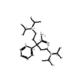 CC(C)N(CCC(CCN(C(C)C)C(C)C)(C(N)=O)c1ccccn1)C(C)C